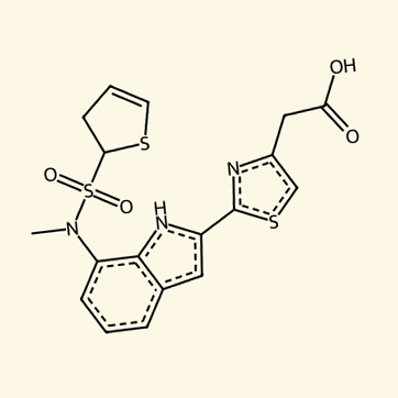 CN(c1cccc2cc(-c3nc(CC(=O)O)cs3)[nH]c12)S(=O)(=O)C1CC=CS1